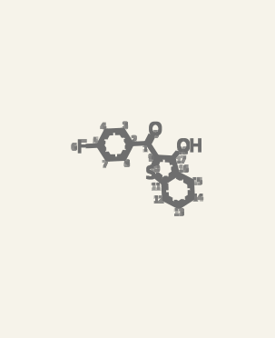 O=C(c1ccc(F)cc1)c1sc2ccccc2c1O